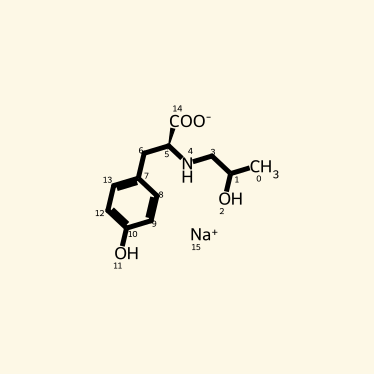 CC(O)CN[C@@H](Cc1ccc(O)cc1)C(=O)[O-].[Na+]